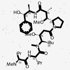 CC[C@H](C)C([C@@H](CC(=O)N1CCC[C@H]1C(OC)[C@@H](C)C(=O)N[C@H](C)[C@@H](O)c1ccccc1)OC)N(C)C(=O)[C@@H](NC(=O)[C@@H](NC)C(C)C)C(C)C